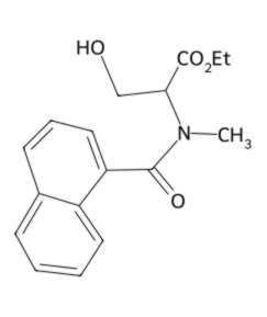 CCOC(=O)C(CO)N(C)C(=O)c1cccc2ccccc12